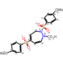 COc1ccc(S(=O)(=O)C2=CCN(S(=O)(=O)c3ccc(OC)cc3)N(C(=O)O)C=C2)cc1